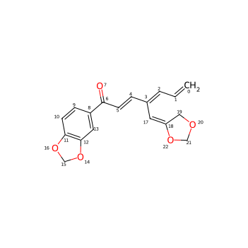 C=C/C=C(/C=C/C(=O)c1ccc2c(c1)OCO2)\C=C1/COCO1